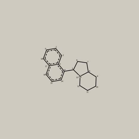 c1ccc2c(C3CCC4CCCCN43)cccc2c1